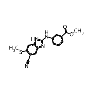 COC(=O)c1cccc(Nc2nc3cc(C#N)c(SC)cc3[nH]2)c1